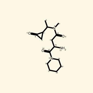 CC(C1CC1=O)N(C)C(=O)CC(N)C(=O)N1CCCCC1